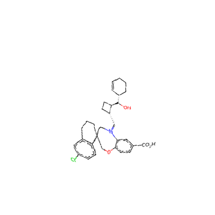 O=C(O)c1ccc2c(c1)N(C[C@@H]1CC[C@H]1C(O)[C@@H]1C=CCCC1)CC1(CCCc3cc(Cl)ccc31)CO2